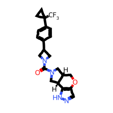 O=C(N1CC(c2ccc(C3(C(F)(F)F)CC3)cc2)C1)N1C[C@@H]2COc3cn[nH]c3[C@@H]2C1